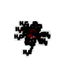 CCCCc1ccc2c3c(c(-c4c(CC)cc(CC)cc4CC)cc2c1)OP(=O)(NP1(=O)Oc2c(-c4c(CC)cc(CC)cc4CC)cc4ccccc4c2-c2c(c(-c4c(CC)cc(CC)cc4CC)cc4ccccc24)O1)Oc1c(-c2c(CC)cc(CC)cc2CC)cc2ccccc2c1-3